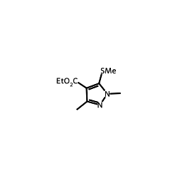 CCOC(=O)c1c(C)nn(C)c1SC